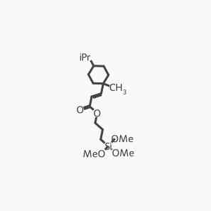 CO[Si](CCCOC(=O)C=CC1(C)CCC(C(C)C)CC1)(OC)OC